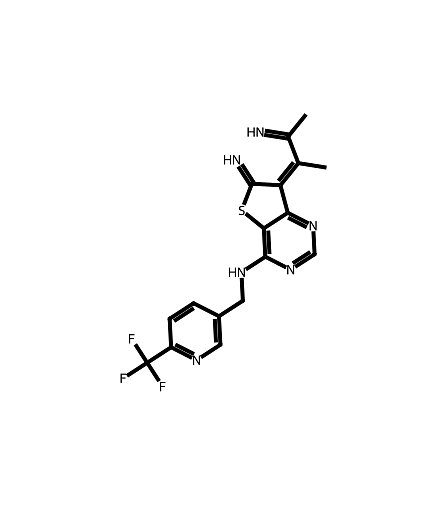 CC(=N)/C(C)=C1\C(=N)Sc2c(NCc3ccc(C(F)(F)F)nc3)ncnc21